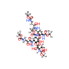 CN(C(=O)OC(C)(C)C)[C@@H]1[C@@H](O)[C@@H](O[C@@H]2[C@@H](O)[C@H](O[C@H]3OC(CNCC(O)CCNC(=O)OC(C)(C)C)=CC[C@H]3NC(=O)OC(C)(C)C)[C@@H](NC(=O)OC(C)(C)C)C[C@H]2NC(=O)C(O)C2CN(C(=O)OC(C)(C)C)C2)OC[C@]1(C)O